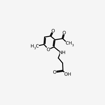 CC(=O)c1c(NCCC(=O)O)oc(C)cc1=O